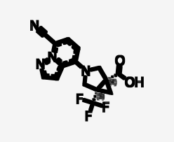 N#Cc1ccc(N2C[C@@]3(C(=O)O)C[C@@]3(C(F)(F)F)C2)c2ccnn12